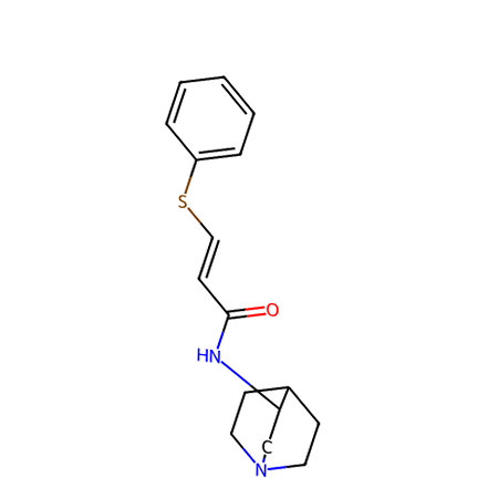 O=C(C=CSc1ccccc1)NC1CN2CCC1CC2